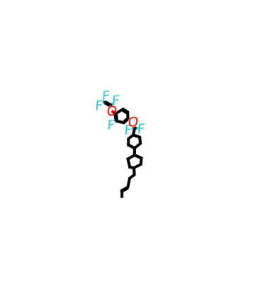 C/C=C/CCC1CCC(C2CCC(C(F)(F)Oc3ccc(OC(F)=C(F)F)c(F)c3)CC2)CC1